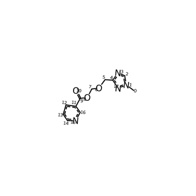 Cn1cnc(COCOC(=O)c2cccnc2)n1